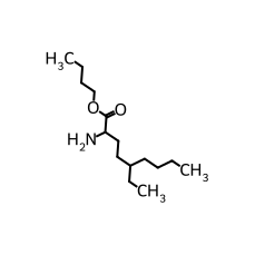 CCCCOC(=O)C(N)CCC(CC)CCCC